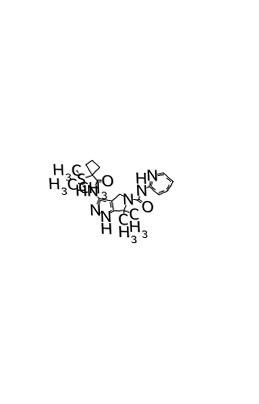 CC1(C)c2[nH]nc(NC(=O)C3(S(C)(C)C)CCC3)c2CN1C(=O)Nc1ccccn1